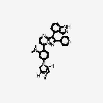 CN(C)c1cc(N2C[C@@H]3C[C@H]2CN3C)ccc1-c1ccnc2c(-c3cccc4[nH]ncc34)c(-c3ccncc3)nn12